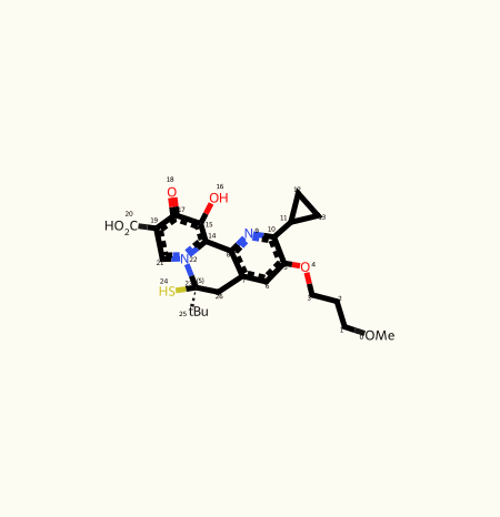 COCCCOc1cc2c(nc1C1CC1)-c1c(O)c(=O)c(C(=O)O)cn1[C@@](S)(C(C)(C)C)C2